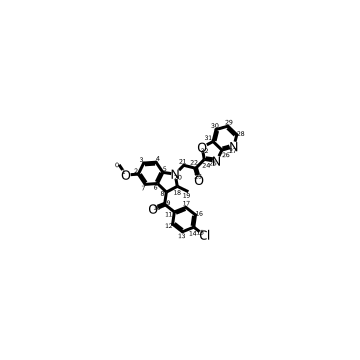 COc1ccc2c(c1)C(C(=O)c1ccc(Cl)cc1)C(C)N2CC(=O)c1nc2ncccc2o1